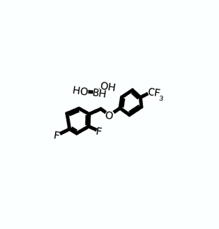 Fc1ccc(COc2ccc(C(F)(F)F)cc2)c(F)c1.OBO